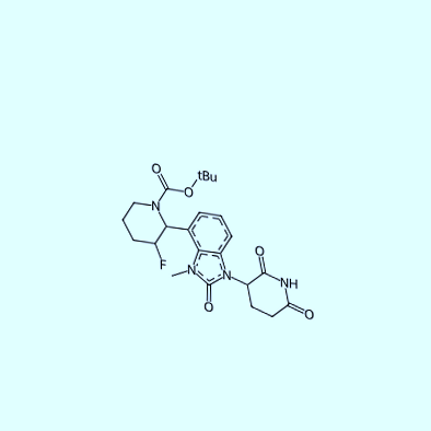 Cn1c(=O)n(C2CCC(=O)NC2=O)c2cccc(C3C(F)CCCN3C(=O)OC(C)(C)C)c21